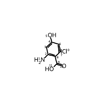 Cl.Nc1cc(O)ccc1C(=O)O